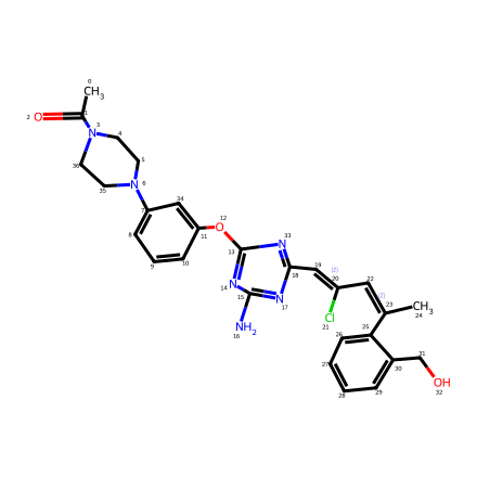 CC(=O)N1CCN(c2cccc(Oc3nc(N)nc(/C=C(Cl)/C=C(/C)c4ccccc4CO)n3)c2)CC1